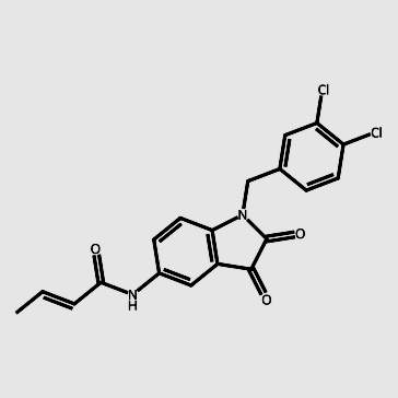 CC=CC(=O)Nc1ccc2c(c1)C(=O)C(=O)N2Cc1ccc(Cl)c(Cl)c1